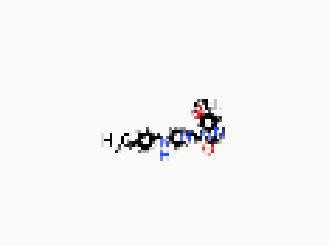 CCc1ccc(CNC2CCN(CCn3c(=O)cnc4ccc(OC)cc43)CC2)cc1